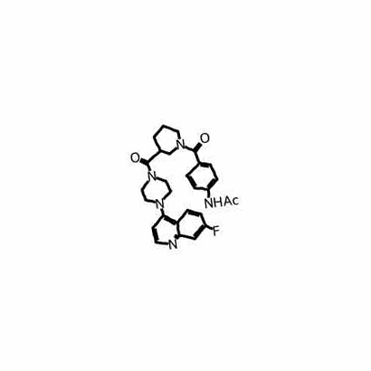 CC(=O)Nc1ccc(C(=O)N2CCCC(C(=O)N3CCN(c4ccnc5cc(F)ccc45)CC3)C2)cc1